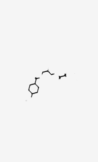 C=C(C)C(=O)OC[C@H](C)COC(=O)C1CCC(CCC)CC1